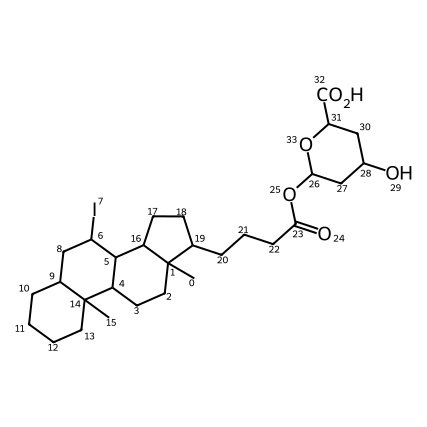 CC12CCC3C(C(I)CC4CCCCC43C)C1CCC2CCCC(=O)OC1CC(O)CC(C(=O)O)O1